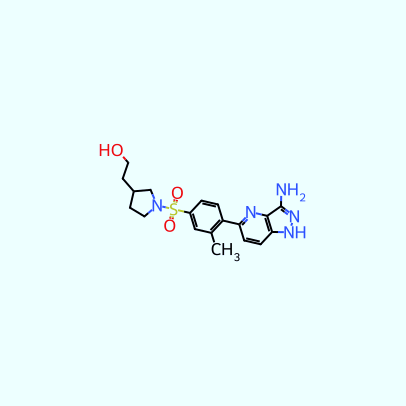 Cc1cc(S(=O)(=O)N2CCC(CCO)C2)ccc1-c1ccc2[nH]nc(N)c2n1